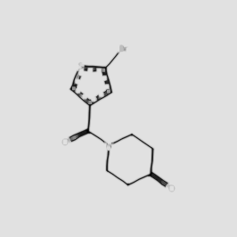 O=C1CCN(C(=O)c2csc(Br)c2)CC1